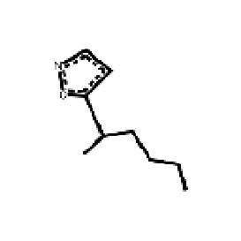 CCCCC(C)c1ccno1